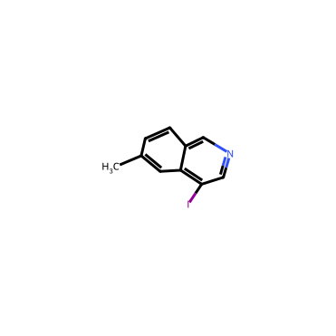 Cc1ccc2cncc(I)c2c1